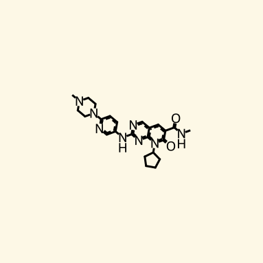 CNC(=O)c1cc2cnc(Nc3ccc(N4CCN(C)CC4)nc3)nc2n(C2CCCC2)c1=O